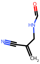 C=C(C#N)CNC=O